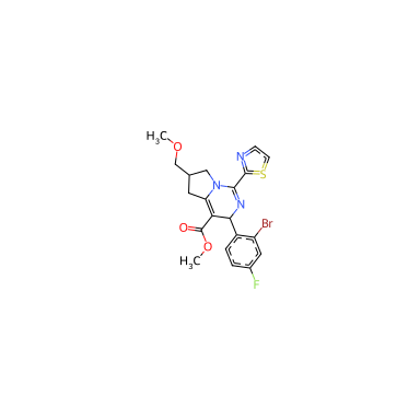 COCC1CC2=C(C(=O)OC)C(c3ccc(F)cc3Br)N=C(c3nccs3)N2C1